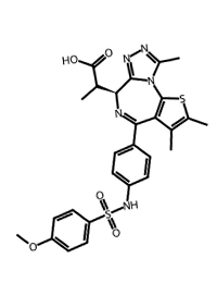 COc1ccc(S(=O)(=O)Nc2ccc(C3=N[C@@H](C(C)C(=O)O)c4nnc(C)n4-c4sc(C)c(C)c43)cc2)cc1